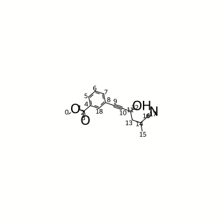 COC(=O)c1cccc(C#CC(O)CC(C)C#N)c1